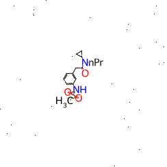 CCCN(C(=O)Cc1cccc(NS(C)(=O)=O)c1)C1CC1